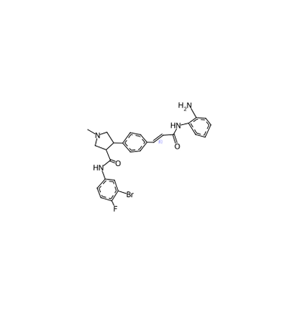 CN1CC(C(=O)Nc2ccc(F)c(Br)c2)C(c2ccc(/C=C/C(=O)Nc3ccccc3N)cc2)C1